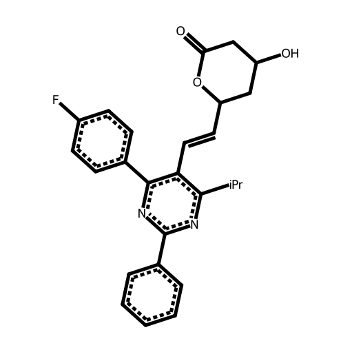 CC(C)c1nc(-c2ccccc2)nc(-c2ccc(F)cc2)c1/C=C/C1CC(O)CC(=O)O1